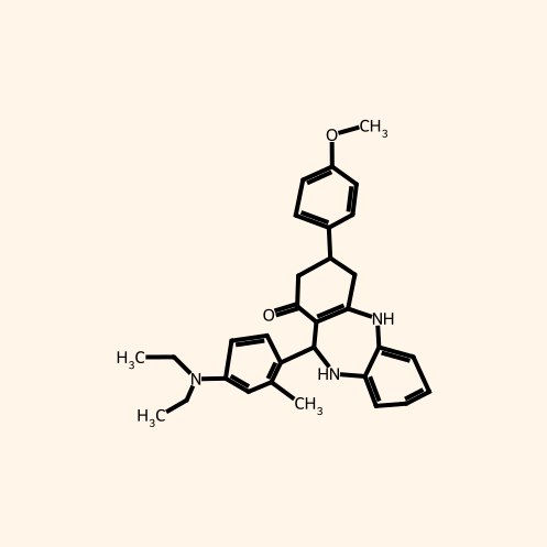 CCN(CC)c1ccc(C2Nc3ccccc3NC3=C2C(=O)CC(c2ccc(OC)cc2)C3)c(C)c1